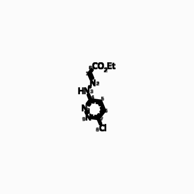 CCOC(=O)/C=N/Nc1ccc(Cl)nn1